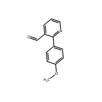 COc1ccc(-c2ncccc2C=O)cc1